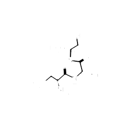 CC(C)[C@H](NC(=O)[C@@H](N)CC(=O)O)C(=O)N[C@@H](CO)C(=O)O